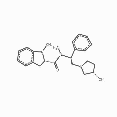 CN(C(=O)[C@@H]1Cc2ccccc2N1C)[C@H](CN1CC[C@H](O)C1)c1ccccc1